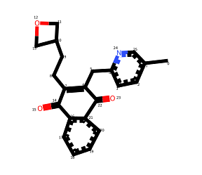 Cc1ccc(CC2=C(CCC3COC3)C(=O)c3ccccc3C2=O)nc1